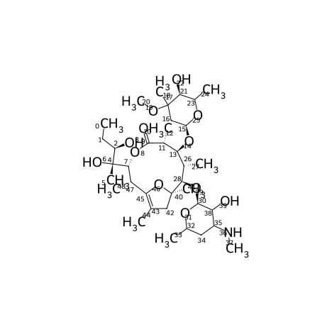 CC[C@@H](O)[C@@](C)(O)[C@@H]1OC(=O)[C@H](C)[C@@H](O[C@H]2CC(C)(OC)[C@@H](O)C(C)O2)[C@H](C)[C@@H](O[C@@H]2OC(C)CC(NC)C2O)[C@@]2(C)CC(C)=C(O2)[C@@H]1C